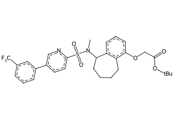 CN(C1CCCCc2c(OCC(=O)OC(C)(C)C)cccc21)S(=O)(=O)c1ccc(-c2cccc(C(F)(F)F)c2)cn1